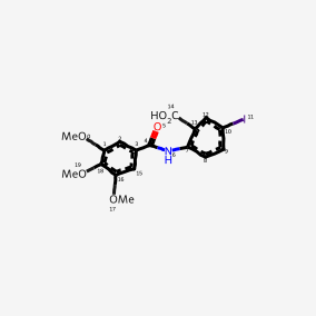 COc1cc(C(=O)Nc2ccc(I)cc2C(=O)O)cc(OC)c1OC